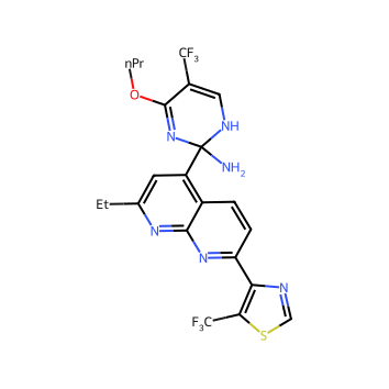 CCCOC1=NC(N)(c2cc(CC)nc3nc(-c4ncsc4C(F)(F)F)ccc23)NC=C1C(F)(F)F